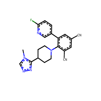 Cn1cnnc1C1CCN(c2c(C#N)cc(C#N)cc2-c2ccc(F)nc2)CC1